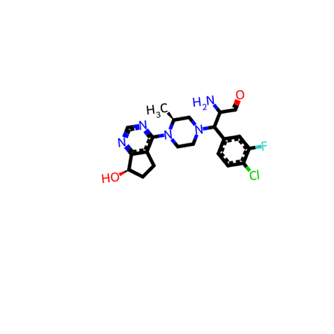 C[C@H]1CN(C(c2ccc(Cl)c(F)c2)C(N)C=O)CCN1c1ncnc2c1CC[C@H]2O